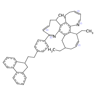 CCC1C/C=C\C(CC)c2c(c3c(c4c2/N=C\C=C/CC4)C(C)C/C=C/C(c2ccc(CCC4Cc5ccccc5-c5ccccc54)cc2)=N\3)C1